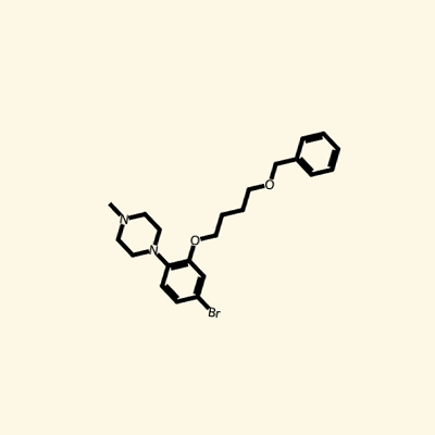 CN1CCN(c2ccc(Br)cc2OCCCCOCc2ccccc2)CC1